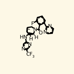 O=C(c1c(F)cccc1-c1ncccn1)N1CC2CC[C@H]1[C@H](Nc1cnc(C(F)(F)F)cn1)C2